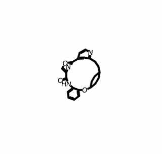 O=C1Nc2ccccc2OC2CCC(CCc3cc(ccn3)-c3nc1co3)CC2